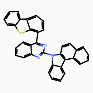 c1ccc2c(c1)ccc1c2c2ccccc2n1-c1nc(-c2cccc3c2sc2ccccc23)c2ccccc2n1